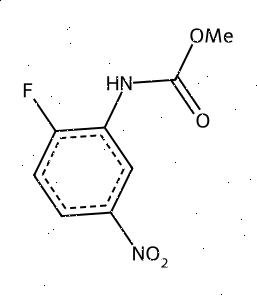 COC(=O)Nc1cc([N+](=O)[O-])ccc1F